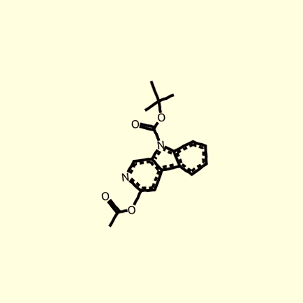 CC(=O)Oc1cc2c3ccccc3n(C(=O)OC(C)(C)C)c2cn1